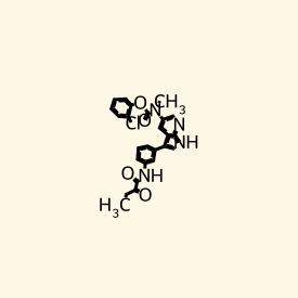 CCC(=O)C(=O)Nc1cccc(-c2c[nH]c3ncc(N(C)C(=O)Oc4ccccc4Cl)cc23)c1